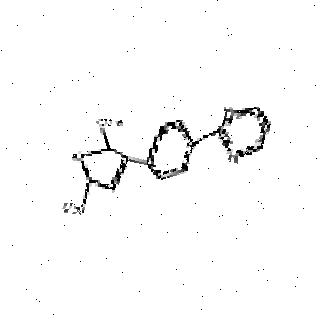 COC1C=C(c2ccc(-c3ncccn3)cc2)C(OC)O1